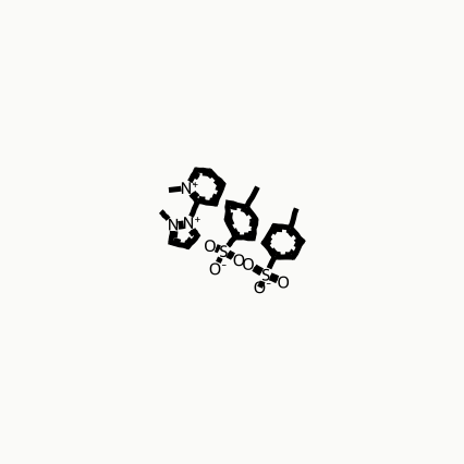 Cc1ccc(S(=O)(=O)[O-])cc1.Cc1ccc(S(=O)(=O)[O-])cc1.Cn1ccc[n+]1-c1cccc[n+]1C